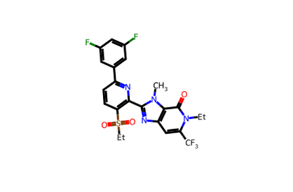 CCn1c(C(F)(F)F)cc2nc(-c3nc(-c4cc(F)cc(F)c4)ccc3S(=O)(=O)CC)n(C)c2c1=O